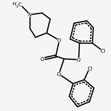 CN1CCC(OC(=O)C(Oc2ccccc2Cl)Oc2ccccc2Cl)CC1